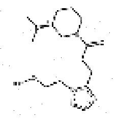 CC(C)OCCn1ccnc1CCC(=O)N1CCC[C@H](N(C)C)C1